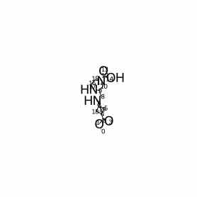 COC(=O)C12CC(NCC3CN(C(=O)O)CCN3)(C1)C2